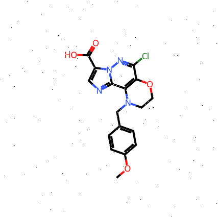 COc1ccc(CN2CCOc3c(Cl)nn4c(C(=O)O)cnc4c32)cc1